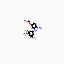 CCOC1=CC=C(N)C(NC2CC(C)(C)CC(C)(C)C2)C1